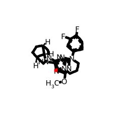 COc1cc(N2C[C@H]3CC[C@@H](C2)[C@H]3Nc2nc3n(n2)CCCN3c2ccc(F)c(F)c2)ncn1